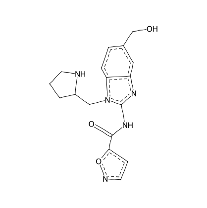 O=C(Nc1nc2cc(CO)ccc2n1CC1CCCN1)c1ccno1